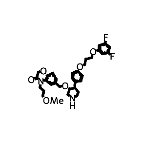 COCCCN1C(=O)COc2ccc(COC3CNCCC3c3ccc(OCCCOc4cc(F)cc(F)c4)cc3)cc21